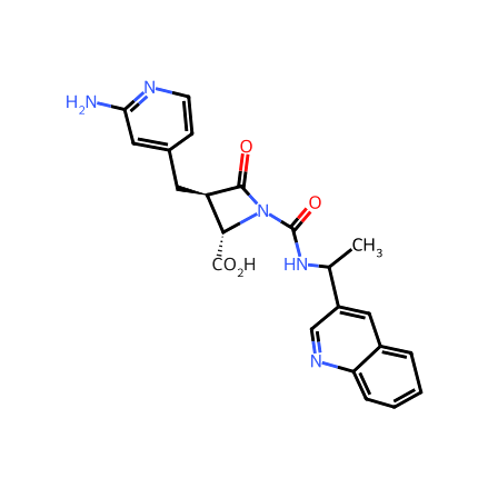 CC(NC(=O)N1C(=O)[C@H](Cc2ccnc(N)c2)[C@H]1C(=O)O)c1cnc2ccccc2c1